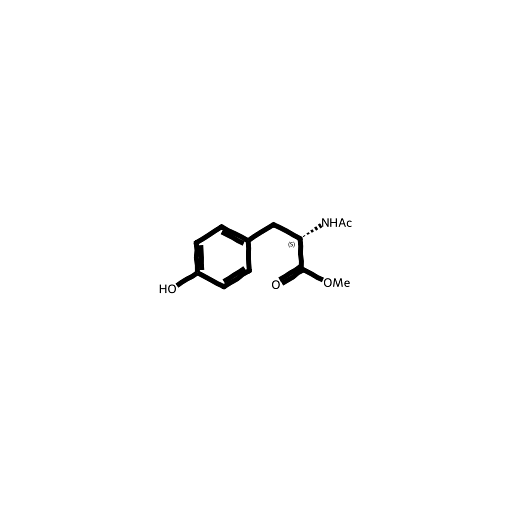 COC(=O)[C@H](Cc1ccc(O)cc1)NC(C)=O